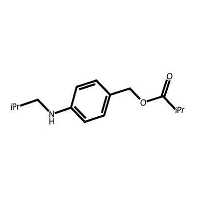 CC(C)CNc1ccc(COC(=O)C(C)C)cc1